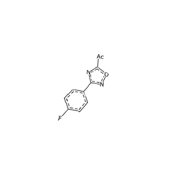 CC(=O)c1nc(-c2ccc(F)cc2)no1